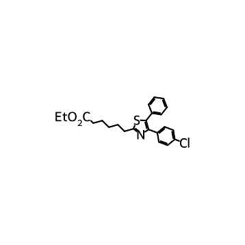 CCOC(=O)CCCCCc1nc(-c2ccc(Cl)cc2)c(-c2ccccc2)s1